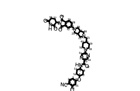 N#Cc1ccc(OC2CCC(NC(=O)c3cnc(N4CCC(CN5CC6CN(c7ccc8c(c7)C(=O)N(C7CCC(=O)NC7=O)C8=O)CC6C5)CC4)cn3)CC2)cc1Cl